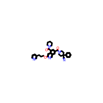 N#CC1(c2ccccc2)CCN(C(=O)c2cc(C(=O)N3CCCCC3)c3cc(OCCCc4cccnc4)ncc3c2)CC1